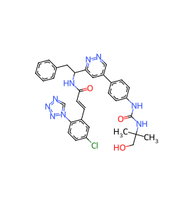 CC(C)(CO)NC(=O)Nc1ccc(-c2cnnc(C(Cc3ccccc3)NC(=O)C=Cc3cc(Cl)ccc3-n3cnnn3)c2)cc1